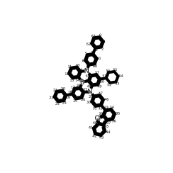 c1ccc(-c2ccc(N3c4ccccc4B4c5cc(-c6ccccc6)ccc5N(c5ccc(-c6cccc7c6oc6ccccc67)cc5)c5cc(C6CCCCC6)cc3c54)cc2)cc1